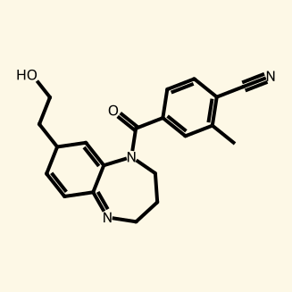 Cc1cc(C(=O)N2CCCN=C3C=CC(CCO)C=C32)ccc1C#N